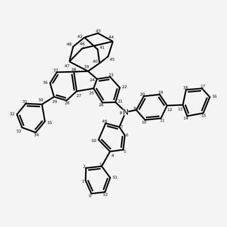 c1ccc(-c2ccc(N(c3ccc(-c4ccccc4)cc3)c3ccc4c(c3)-c3cc(-c5ccccc5)ccc3C43C4CC5CC(C4)CC3C5)cc2)cc1